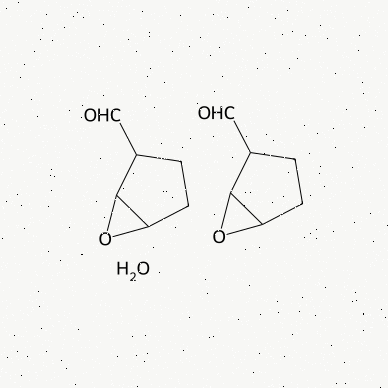 O.O=CC1CCC2OC12.O=CC1CCC2OC12